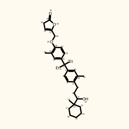 CCC(CC)(c1ccc(CCC(O)C2(C)CCCCC2)c(C)c1)c1ccc(OCC2=CCC(=O)O2)c(C)c1